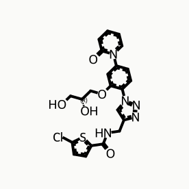 O=C(NCc1cn(-c2ccc(-n3ccccc3=O)cc2OC[C@H](O)CO)nn1)c1ccc(Cl)s1